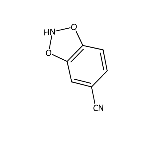 N#Cc1ccc2c(c1)ONO2